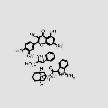 CN1[C@@H]2CCC[C@H]1C[C@@H](NC(=O)c1nn(C)c3ccccc13)C2.NC(Cc1ccccc1)C(=O)O.O=c1c(O)c(-c2ccc(O)c(O)c2)oc2cc(O)cc(O)c12